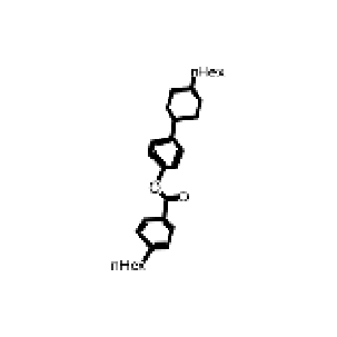 CCCCCCc1ccc(C(=O)Oc2ccc(C3CCC(CCCCCC)CC3)cc2)cc1